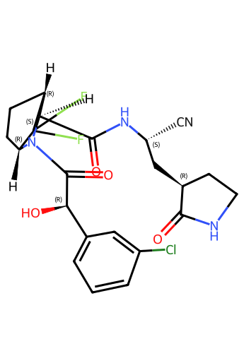 N#C[C@H](C[C@H]1CCNC1=O)NC(=O)[C@@H]1[C@H]2CC[C@H](CC2(F)F)N1C(=O)[C@H](O)c1cccc(Cl)c1